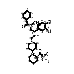 CN(C)C(=O)[C@H]1CCCCN1C1CCN(CC[C@H](CN(C)C(=O)c2ccccc2)c2ccc(Cl)c(Cl)c2)CC1